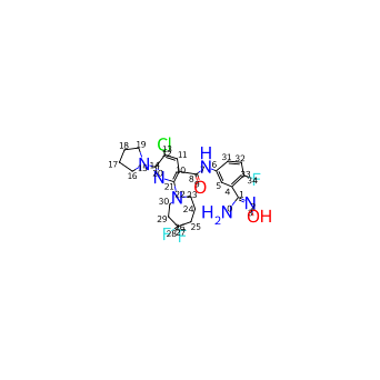 NC(=NO)c1cc(NC(=O)c2cc(Cl)c(N3CCCC3)nc2N2CCCC(F)(F)CC2)ccc1F